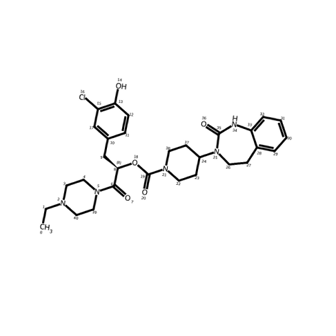 CCN1CCN(C(=O)[C@@H](Cc2ccc(O)c(Cl)c2)OC(=O)N2CCC(N3CCc4ccccc4NC3=O)CC2)CC1